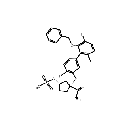 CS(=O)(=O)N[C@H]1CC[C@](Cc2cc(-c3c(F)ccc(F)c3OCc3ccccc3)ccc2F)(C(N)=O)C1